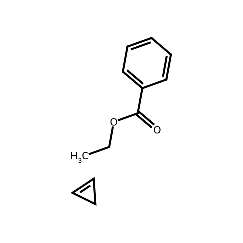 C1=CC1.CCOC(=O)c1ccccc1